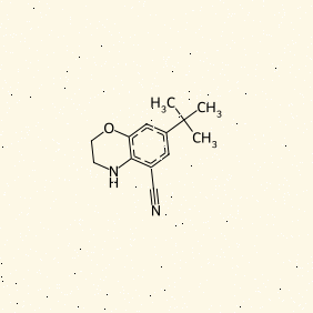 CC(C)(C)c1cc(C#N)c2c(c1)OCCN2